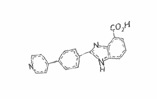 O=C(O)c1cccc2[nH]c(-c3ccc(-c4ccncc4)cc3)nc12